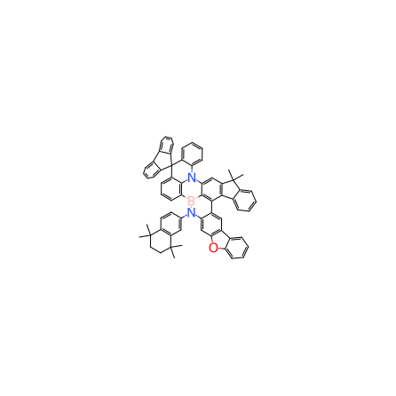 CC1(C)CCC(C)(C)c2cc(N3B4c5cccc6c5N(c5ccccc5C65c6ccccc6-c6ccccc65)c5cc6c(c(c54)-c4cc5c(cc43)oc3ccccc35)-c3ccccc3C6(C)C)ccc21